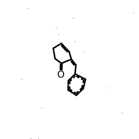 O=C1CCC=CC1=Cc1ccccc1